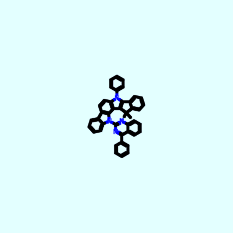 CC1(C)c2ccccc2-c2c1c1c(ccc3c4ccccc4n(-c4nc(-c5ccccc5)c5ccccc5n4)c31)n2-c1ccccc1